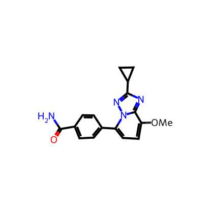 COc1ccc(-c2ccc(C(N)=O)cc2)n2nc(C3CC3)nc12